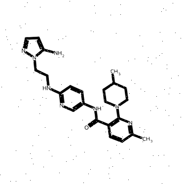 Cc1ccc(C(=O)Nc2ccc(NCCn3nccc3N)nc2)c(N2CCC(C)CC2)n1